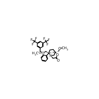 COC[C@]12CC[C@@](CO[C@H](C)c3cc(C(F)(F)F)cc(C(F)(F)F)c3)(c3ccccc3)N(CC(=O)O1)C2